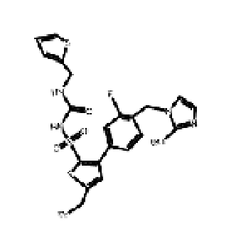 CC(C)Cc1cc(-c2ccc(Cn3ccnc3C(C)(C)C)c(F)c2)c(S(=O)(=O)NC(=O)NCc2cccs2)s1